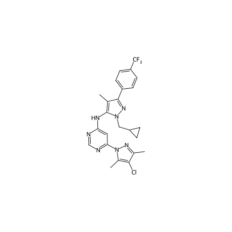 Cc1nn(-c2cc(Nc3c(C)c(-c4ccc(C(F)(F)F)cc4)nn3CC3CC3)ncn2)c(C)c1Cl